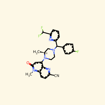 C[C@H]1CN(C(c2ccc(F)cc2)c2cccc(C(F)F)n2)CCN1c1cc(=O)n(C)c2ccc(C#N)nc12